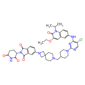 CCOc1cc2cc(Nc3nc(N4CCC(CN5CCC6(CC5)CN(c5ccc7c(c5)C(=O)N(C5CCC(=O)NC5=O)C7=O)C6)CC4)ncc3Cl)ccc2n(C(C)C)c1=O